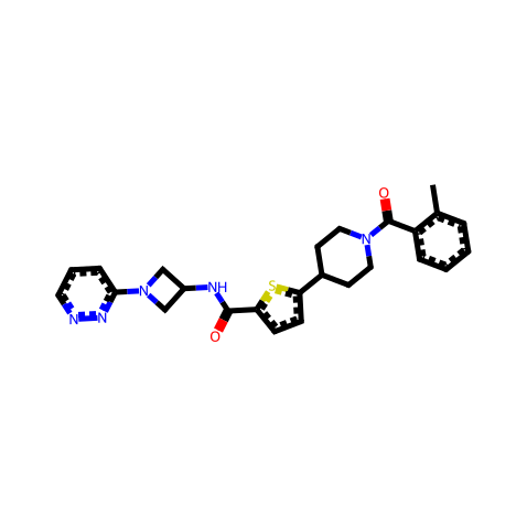 Cc1ccccc1C(=O)N1CCC(c2ccc(C(=O)NC3CN(c4cccnn4)C3)s2)CC1